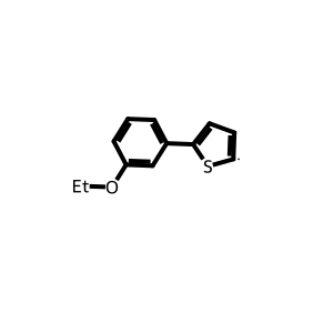 CCOc1cccc(-c2cc[c]s2)c1